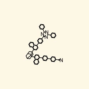 N#Cc1ccc(-c2ccc(-c3ccc(C45CC6CC(C4)CC(c4ccc(-c7ccc(-c8nc(-c9ccccc9)nc(-c9ccccc9)n8)cc7)c7ccccc47)(C6)C5)c4ccccc34)cc2)cc1